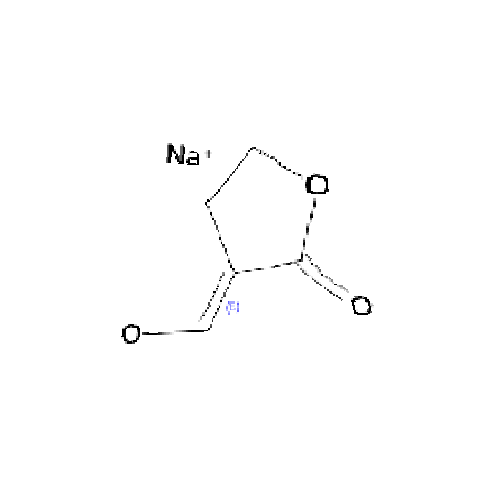 O=C1OCC/C1=C\[O-].[Na+]